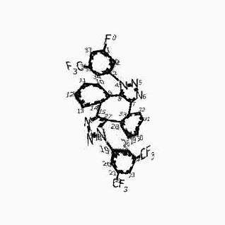 Fc1cc(-n2nnc3c2-c2ccccc2-c2nnn(-c4cc(C(F)(F)F)cc(C(F)(F)F)c4)c2-c2ccccc2-3)cc(C(F)(F)F)c1